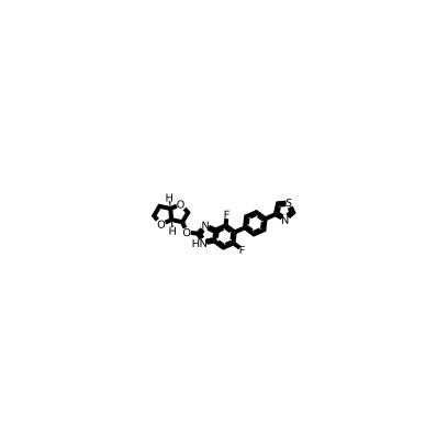 Fc1cc2[nH]c(OC3CO[C@@H]4CCO[C@H]34)nc2c(F)c1-c1ccc(-c2cscn2)cc1